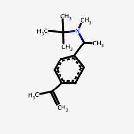 C=C(C)c1ccc(C(C)N(C)C(C)(C)C)cc1